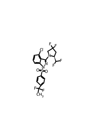 CC(F)(F)c1ccc(S(=O)(=O)n2nc(N3CC(F)(F)C[C@H]3C(F)F)c3c(Cl)cccc32)cc1